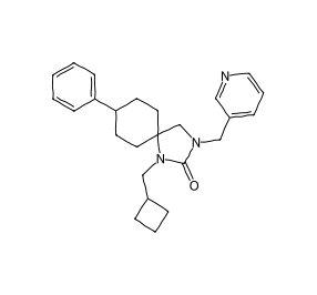 O=C1N(Cc2cccnc2)CC2(CCC(c3ccccc3)CC2)N1CC1CCC1